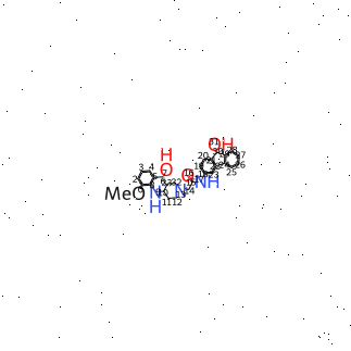 COc1cccc(CO)c1NC1CCN(CC(=O)Nc2ccc3c(c2)-c2ccccc2C3O)CC1